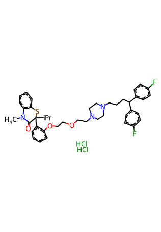 CC(C)C1(c2ccccc2OCCOCCN2CCN(CCCC(c3ccc(F)cc3)c3ccc(F)cc3)CC2)Sc2ccccc2N(C)C1=O.Cl.Cl